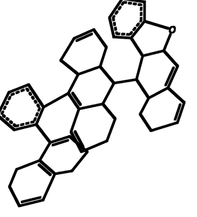 C1=CC2=C(CC1)C(c1ccccc1C1=C3C=CCCC3C(C3C4CCC=CC4=CC4Oc5ccccc5C43)C3CC=CCC13)=CCC2